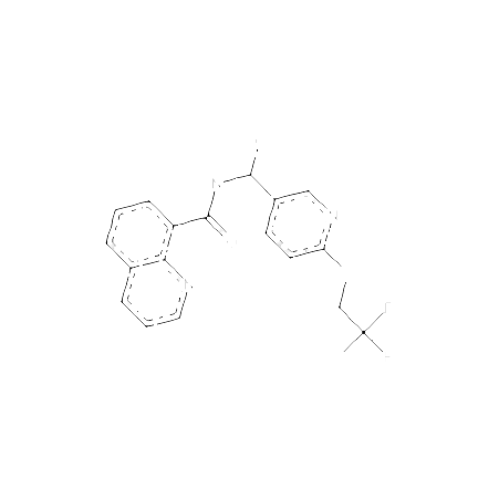 CC(NC(=O)c1cccc2cccnc12)c1ccc(OCC(F)(F)F)nc1